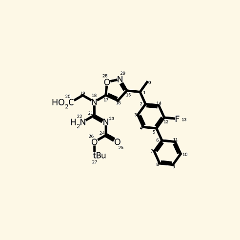 CC(c1ccc(-c2ccccc2)c(F)c1)c1cc(N(CC(=O)O)C(N)=NC(=O)OC(C)(C)C)on1